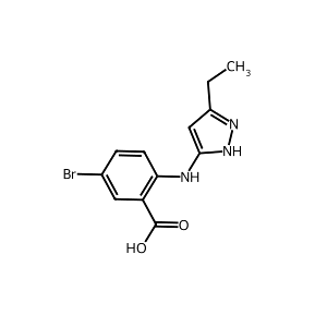 CCc1cc(Nc2ccc(Br)cc2C(=O)O)[nH]n1